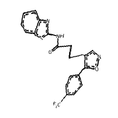 O=C(CCc1cnoc1-c1ccc(C(F)(F)F)cc1)Nc1nc2ccccc2s1